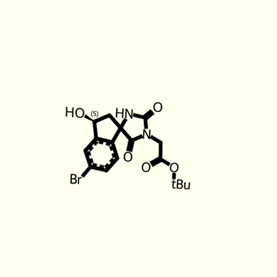 CC(C)(C)OC(=O)CN1C(=O)NC2(C[C@H](O)c3cc(Br)ccc32)C1=O